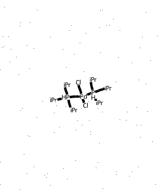 CC(C)[PH](C(C)C)(C(C)C)[Pd]([Cl])([Cl])[PH](C(C)C)(C(C)C)C(C)C